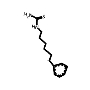 NC(=S)NCCCCC[CH]c1ccccc1